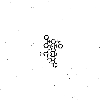 CC(C)c1cc(C(C)C)c(B2c3ccc(N4c5ccccc5C(C)(C)c5ccc6c(c54)C(C)(C)c4ccccc4N6c4ccccc4)cc3Oc3cc4c(cc32)oc2ccccc24)c(C(C)C)c1